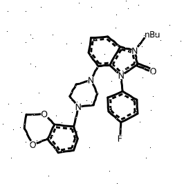 CCCCn1c(=O)n(-c2ccc(F)cc2)c2c(N3CCN(c4cccc5c4OCCO5)CC3)cccc21